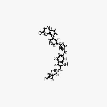 O=c1cnc2ccn(-c3cncc(-c4ncn(Cc5ccc6cc(CNCC78CC(F)(C7)C8)[nH]c6c5)n4)c3)c2o1